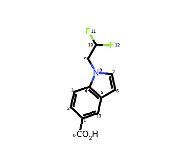 O=C(O)c1ccc2c(ccn2CC(F)F)c1